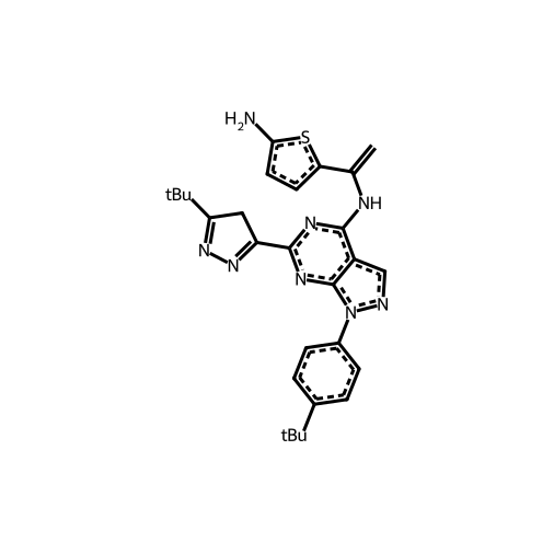 C=C(Nc1nc(C2=NN=C(C(C)(C)C)C2)nc2c1cnn2-c1ccc(C(C)(C)C)cc1)c1ccc(N)s1